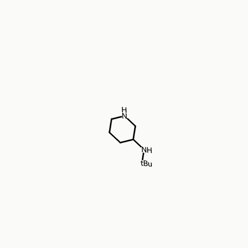 CC(C)(C)NC1CCCNC1